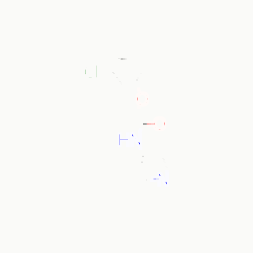 Cc1cc(NC(=O)COc2cccc(Cl)c2)ccn1